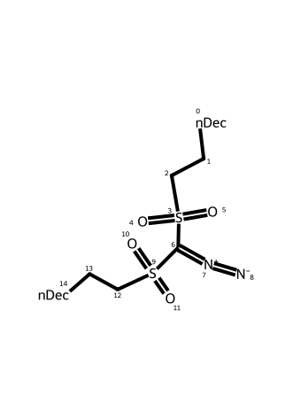 CCCCCCCCCCCCS(=O)(=O)C(=[N+]=[N-])S(=O)(=O)CCCCCCCCCCCC